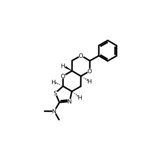 CN(C)C1=N[C@@H]2C[C@@H]3OC(c4ccccc4)OC[C@H]3O[C@@H]2S1